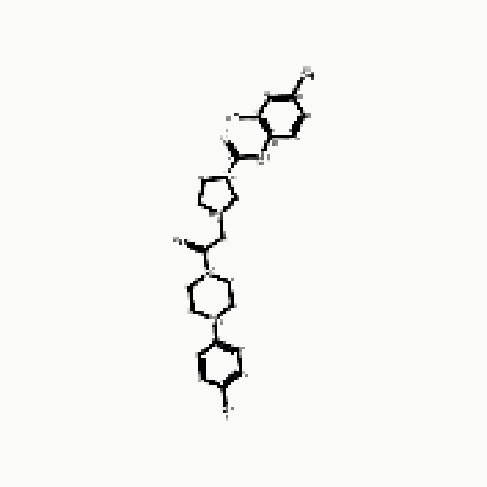 CC(=O)c1ccc(N2CCN(C(=O)CN3CC[C@@H](C(=O)Nc4ccc(O)cc4F)C3)CC2)cc1